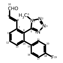 Cn1nnnc1-c1c(C=CC=O)cccc1-c1ccc(F)cc1